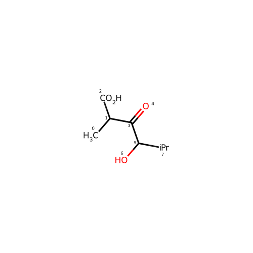 CC(C(=O)O)C(=O)C(O)C(C)C